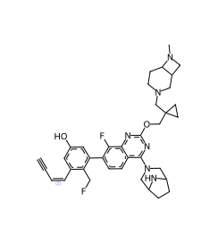 C#C/C=C\c1cc(O)cc(-c2ccc3c(N4CC5CCC(C4)N5)nc(OCC4(CN5CCC6C(C5)CN6C)CC4)nc3c2F)c1CF